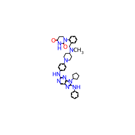 CN(Cc1ccccc1N1CCC(=O)NC1=O)C1CCN(c2ccc(Nc3ncc4nc(Nc5ccccc5)n(C5CCCC5)c4n3)cc2)CC1